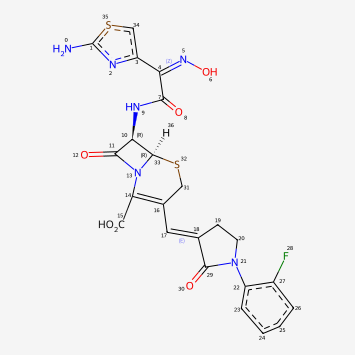 Nc1nc(/C(=N/O)C(=O)N[C@@H]2C(=O)N3C(C(=O)O)=C(/C=C4\CCN(c5ccccc5F)C4=O)CS[C@H]23)cs1